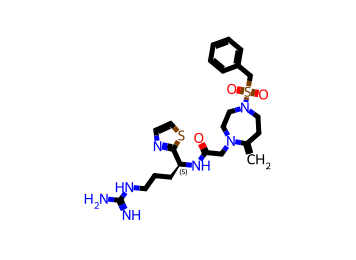 C=C1CCN(S(=O)(=O)Cc2ccccc2)CCN1CC(=O)N[C@@H](CCCNC(=N)N)c1nccs1